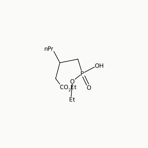 CCCC(CC(=O)OCC)CP(=O)(O)OCC